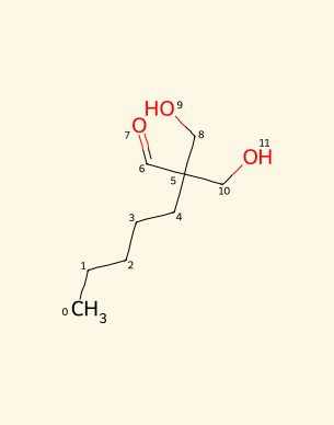 CCCCCC(C=O)(CO)CO